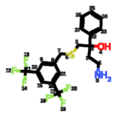 NCCC(O)(CSCc1cc(C(F)(F)F)cc(C(F)(F)F)c1)c1ccccc1